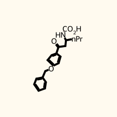 CCCC(CC(=O)c1ccc(OCc2ccccc2)cc1)NC(=O)O